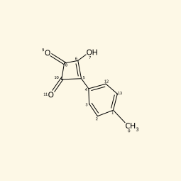 Cc1ccc(-c2c(O)c(=O)c2=O)cc1